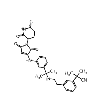 CC(C)(C#N)c1cccc(CCNC(C)(C)c2cccc(NC3=CC(=O)N(C4CCC(=O)NC4=O)C3=O)c2)c1